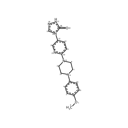 COc1ccc(N2CCN(c3ccc(-n4cn[nH]c4=O)cn3)CC2)cc1